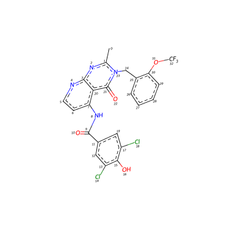 Cc1nc2nccc(NC(=O)c3cc(Cl)c(O)c(Cl)c3)c2c(=O)n1Cc1ccccc1OC(F)(F)F